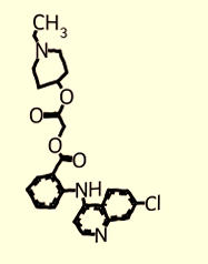 CCN1CCC(OC(=O)COC(=O)c2ccccc2Nc2ccnc3cc(Cl)ccc23)CC1